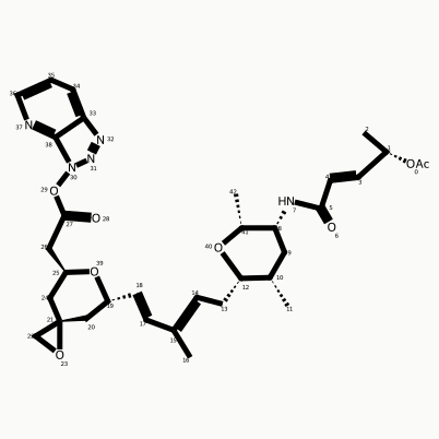 CC(=O)O[C@@H](C)C=CC(=O)N[C@@H]1C[C@H](C)[C@H](CC=C(C)C=C[C@@H]2C[C@@]3(CO3)C[C@@H](CC(=O)On3nnc4cccnc43)O2)O[C@@H]1C